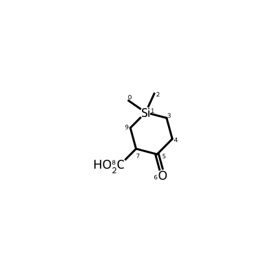 C[Si]1(C)CCC(=O)C(C(=O)O)C1